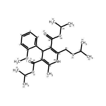 COc1ccccc1C1C(C(=O)OC(C)C)=C(C)NC(CSC(C)C)=C1C(=O)OC(C)C